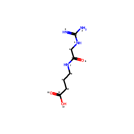 N=C(N)NCC(=O)NCCCC(=O)O